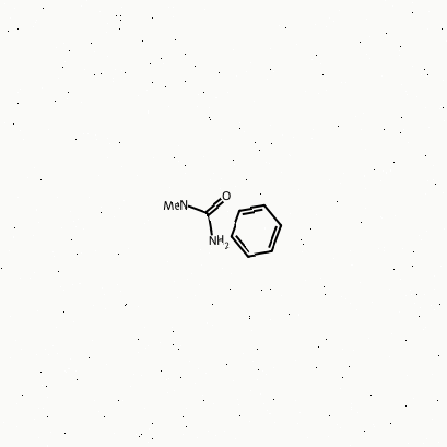 CNC(N)=O.c1ccccc1